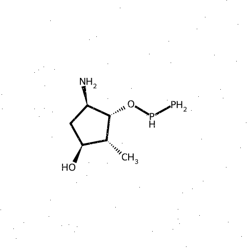 C[C@H]1[C@@H](OPP)[C@H](N)C[C@@H]1O